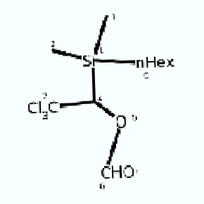 CCCCCC[Si](C)(C)C(O[C]=O)C(Cl)(Cl)Cl